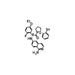 CCOc1ccc(F)c([C@@H](Nc2ccc3c(N)nccc3c2)C(=O)N2CCC[C@@H]2c2ccccc2S)c1